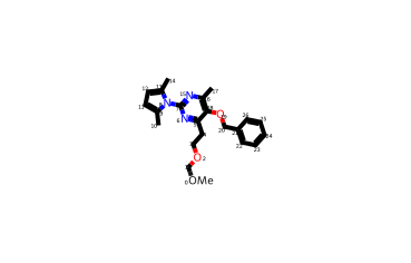 COCOCCc1nc(-n2c(C)ccc2C)nc(C)c1OCc1ccccc1